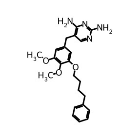 COc1cc(Cc2cnc(N)nc2N)cc(OCCCCc2ccccc2)c1OC